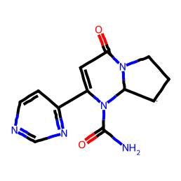 NC(=O)N1C(c2ccncn2)=CC(=O)N2CC[CH]C21